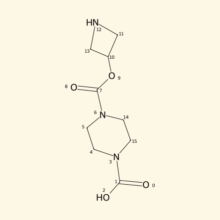 O=C(O)N1CCN(C(=O)OC2CNC2)CC1